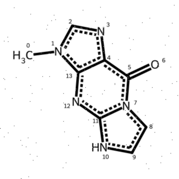 Cn1cnc2c(=O)n3cc[nH]c3nc21